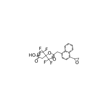 O=C(Cc1ccc(C2CO2)c2ccccc12)OC(CS(=O)(=O)O)(C(F)(F)F)C(F)(F)F